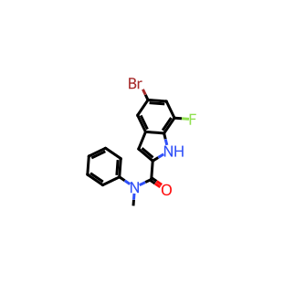 CN(C(=O)c1cc2cc(Br)cc(F)c2[nH]1)c1ccccc1